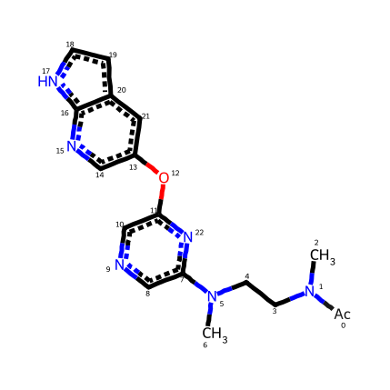 CC(=O)N(C)CCN(C)c1cncc(Oc2cnc3[nH]ccc3c2)n1